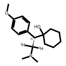 [2H]C([2H])([C@H](c1ccc(OC)cc1)C1(O)CCCCC1)N(C)C